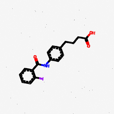 O=C(O)CCCc1ccc(NC(=O)c2ccccc2I)cc1